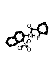 O=C(Nc1ccc2ccccc2c1S(=O)(=O)Cl)c1ccccc1F